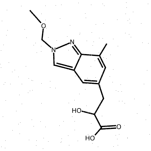 COCn1cc2cc(CC(O)C(=O)O)cc(C)c2n1